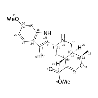 CCCc1c([C@H]2C[C@H]3C(C(=O)OC)=CO[C@H](C)[C@@H]3CN2)[nH]c2cc(OC)ccc12